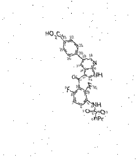 CCCS(=O)(=O)Nc1ccc(F)c(C(=O)c2c[nH]c3ncc(-c4ccc(C(=O)O)cc4)cc23)c1F